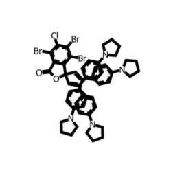 O=C1OC(C=C(c2ccc(N3CCCC3)cc2)c2ccc(N3CCCC3)cc2)(C=C(c2ccc(N3CCCC3)cc2)c2ccc(N3CCCC3)cc2)c2c(Br)c(Br)c(Cl)c(Br)c21